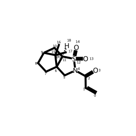 C=CC(=O)N1CC23CCC(C[C@H]2S1(=O)=O)C3(C)C